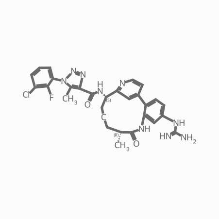 Cc1c(C(=O)N[C@H]2CCC[C@@H](C)C(=O)Nc3cc(NC(=N)N)ccc3-c3ccnc2c3)nnn1-c1cccc(Cl)c1F